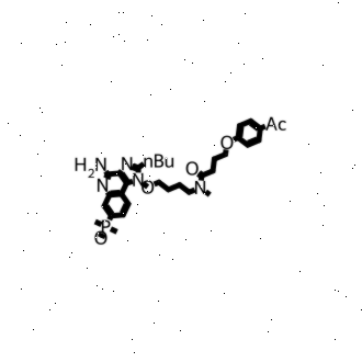 CCCCc1nc2c(N)nc3cc(P(C)(C)=O)ccc3c2n1OCCCCN(C)C(=O)CCCOc1ccc(C(C)=O)cc1